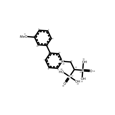 COc1cccc(-c2ccc[n+](CC(P(=O)(O)O)P(=O)(O)O)c2)c1